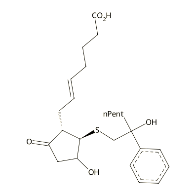 CCCCCC(O)(CS[C@H]1C(O)CC(=O)[C@@H]1CC=CCCCC(=O)O)c1ccccc1